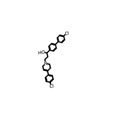 OC(CCN1CC=C(c2ccc(Cl)cc2)CC1)c1ccc(-c2ccc(Cl)cc2)cc1